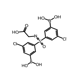 O=C(O)CN=S(=O)(c1cc(Cl)cc(B(O)O)c1)c1cc(Cl)cc(B(O)O)c1